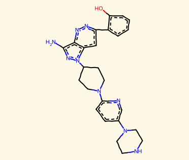 Nc1nn(C2CCN(c3ccc(N4CCNCC4)cn3)CC2)c2cc(-c3ccccc3O)nnc12